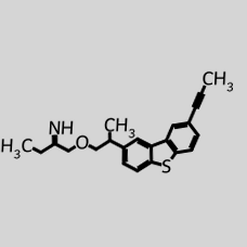 CC#Cc1ccc2sc3ccc(C(C)COCC(=N)CC)cc3c2c1